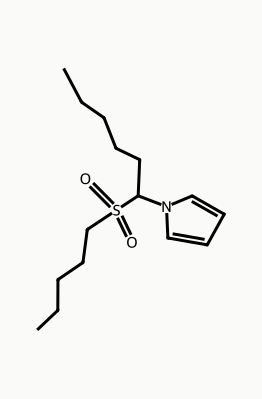 CCCCCC(n1cccc1)S(=O)(=O)CCCCC